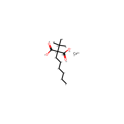 CCCCCCC(C(=O)[O-])(C(=O)[O-])C(C)(C)C.[Ca+2]